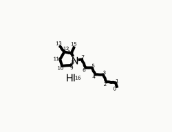 CCCCCCCCN1CCCC(C)C1C.I